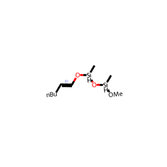 CCCC/C=C/O[SiH](C)O[SiH](C)OC